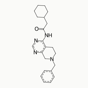 O=C(CC1CCCCC1)Nc1ncnc2c1CCN(Cc1ccccc1)C2